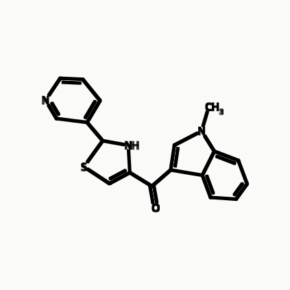 Cn1cc(C(=O)C2=CSC(c3cccnc3)N2)c2ccccc21